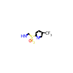 N=C[SH2+]([O-])c1ccc(C(F)(F)F)cn1